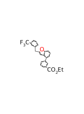 CCOC(=O)c1cccc(-c2cccc3oc(Cc4cccc(C(F)(F)F)c4)cc23)c1